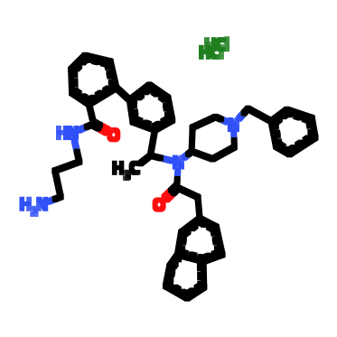 CC(c1cccc(-c2ccccc2C(=O)NCCCN)c1)N(C(=O)Cc1ccc2ccccc2c1)C1CCN(Cc2ccccc2)CC1.Cl.Cl